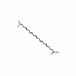 O=C(O)CCCC=CCC=CCC=CCC=CCC=CCC[N+](=O)[O-]